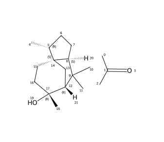 CC(C)=O.C[C@@H]1CC[C@H]2C(C)(C)[C@H]3C[C@@]12CC[C@@]3(C)O